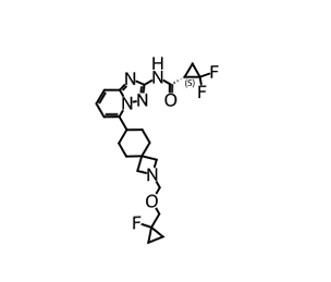 O=C(Nc1nc2cccc(C3CCC4(CC3)CN(COCC3(F)CC3)C4)n2n1)[C@@H]1CC1(F)F